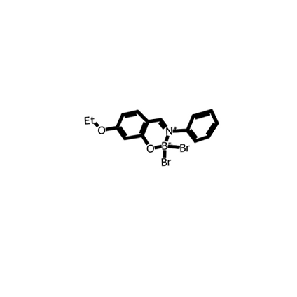 CCOc1ccc2c(c1)O[B-](Br)(Br)[N+](c1ccccc1)=C2